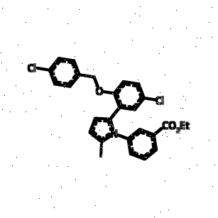 CCOC(=O)c1cccc(-n2c(C)ccc2-c2cc(Cl)ccc2OCc2ccc(Cl)cc2)c1